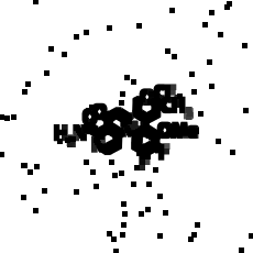 COc1c([C@@H]2C[C@](C)(C(F)(F)F)OC[C@H]2c2cc(=O)c3c(C(N)=O)nccc3[nH]2)ccc(F)c1F